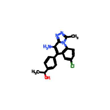 Cc1nnc2c(N)c(-c3ccc(C(C)O)cc3)c3cc(Cl)ccc3n12